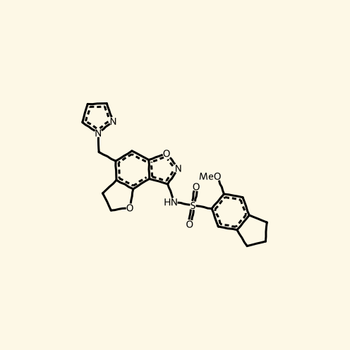 COc1cc2c(cc1S(=O)(=O)Nc1noc3cc(Cn4cccn4)c4c(c13)OCC4)CCC2